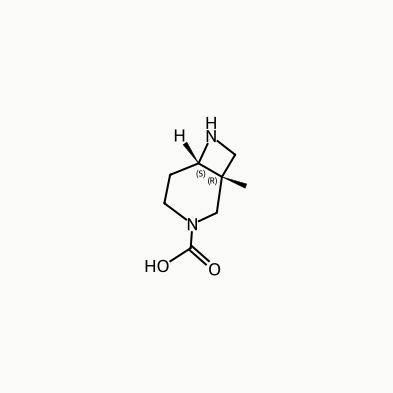 C[C@]12CN[C@H]1CCN(C(=O)O)C2